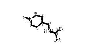 CCC(CC)NCC1CCN(C)CC1